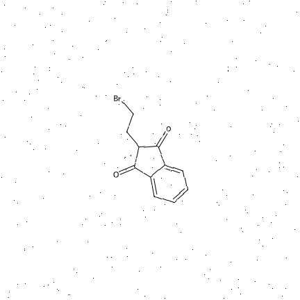 O=C1c2ccccc2C(=O)C1CCBr